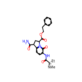 CC[C@H](NC)C(=O)Nc1ccc2n(c1=O)C(C(=O)OCCc1ccccc1)CC2C(N)=O